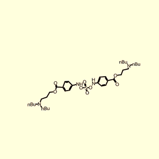 CCCCN(CCCC)CCCOC(=O)c1ccc(NOS(=O)(=O)ONc2ccc(C(=O)OCCCN(CCCC)CCCC)cc2)cc1